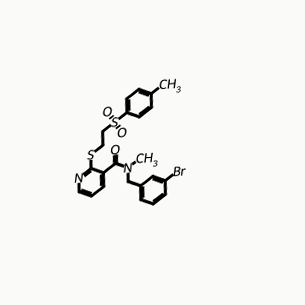 Cc1ccc(S(=O)(=O)CCSc2ncccc2C(=O)N(C)Cc2cccc(Br)c2)cc1